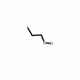 [CH2]COCCI